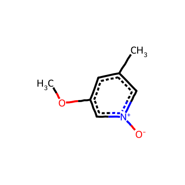 COc1cc(C)c[n+]([O-])c1